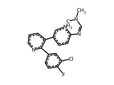 CN(C)/C=N\c1ccc(-c2cccnc2-c2ccc(F)c(Cl)c2)cn1